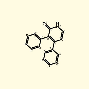 O=c1[nH]ccc(-c2ccccc2)c1-c1ccccc1